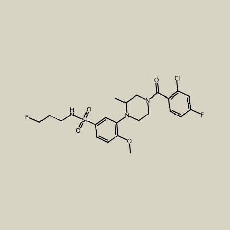 COc1ccc(S(=O)(=O)NCCCF)cc1N1CCN(C(=O)c2ccc(F)cc2Cl)CC1C